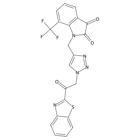 O=C(Cn1cc(CN2C(=O)C(=O)c3cccc(C(F)(F)F)c32)nn1)c1nc2ccccc2s1